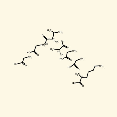 CC(C)[C@H](N)C(=O)O.C[C@H](N)C(=O)O.NCC(=O)O.NCC(=O)O.NCC(=O)O.NCC(=O)O.NCCCC[C@H](N)C(=O)O